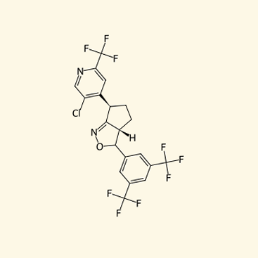 FC(F)(F)c1cc(C2ON=C3[C@@H](c4cc(C(F)(F)F)ncc4Cl)CC[C@@H]32)cc(C(F)(F)F)c1